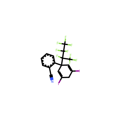 N#Cc1ccccc1C1(C(F)(C(F)(F)F)C(F)(F)C(F)(F)F)C=C(I)[CH]C(I)=C1